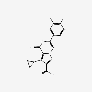 O=C(O)c1nn2cc(-c3ccc(Cl)c(Cl)c3)[nH]c(=O)c2c1C1CC1